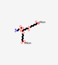 CCCCCCCCCOC(=O)CCCCCOC(=O)CCC(OC(=O)OCCN(C)C)C(=O)OCCCCCC(=O)OCCCCCCCCC